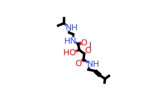 CC(C)C#CCNC(=O)C(OI)C(O)C(=O)NCCNC(C)C